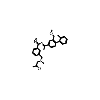 C/N=C(\N=C(/C)c1ccc(-c2ccccc2C)c(COC)c1)c1cccc(CN(C)CC(C)=O)c1